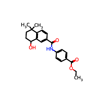 CCOC(=O)c1ccc(NC(=O)c2ccc3c(c2)C(O)CCC3(C)C)cc1